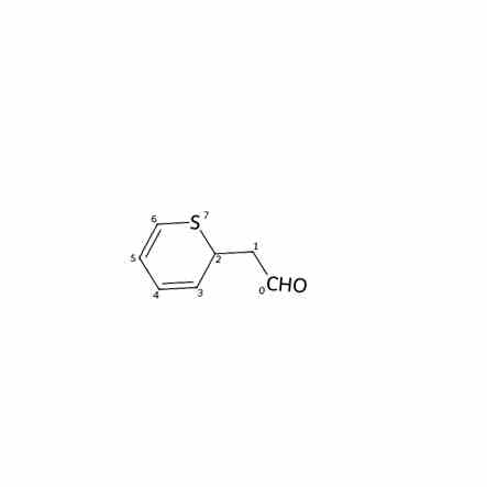 O=CCC1C=CC=CS1